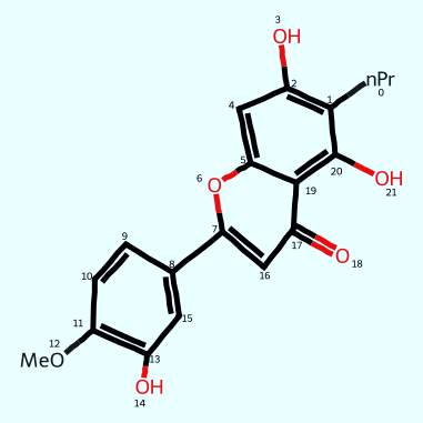 CCCc1c(O)cc2oc(-c3ccc(OC)c(O)c3)cc(=O)c2c1O